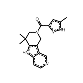 Cc1cc(C(=O)N2Cc3c([nH]c4ccncc34)C(C)(C)C2)n[nH]1